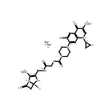 O=C(CSC(=S)N1CCN(c2cc3c(cc2F)c(=O)c(C(=O)[O-])cn3C2CC2)CC1)NCC1=C(C(=O)[O-])N2C(=O)C[C@H]2S1.[Na+].[Na+]